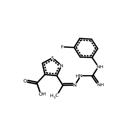 CC(=NNC(=N)Nc1cccc(F)c1)c1nscc1C(=O)O